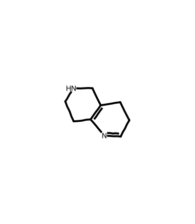 C1=NC2=C(CC1)CNCC2